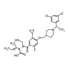 C/C=C(\C)[C@@H](C(=O)O)N(CO)C(=O)c1cc(C2CC2)c(OCC2CCN(C(C)c3cc(Cl)cc(Cl)c3)CC2)cc1F